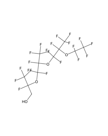 OCC(F)(OC(F)(F)C(F)(OC(F)(F)C(F)(OC(F)(F)C(F)(F)F)C(F)(F)F)C(F)(F)F)C(F)(F)F